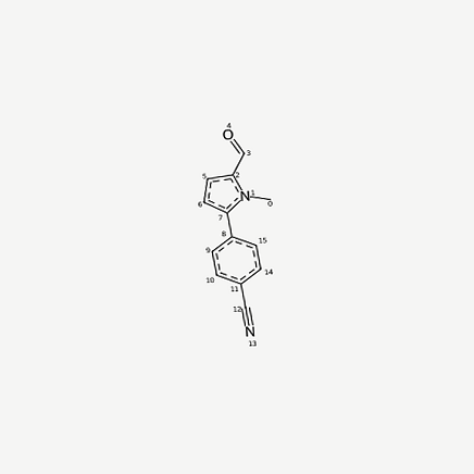 Cn1c(C=O)ccc1-c1ccc(C#N)cc1